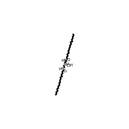 CCCCCCCCCCCCCCCCCC(=O)NCCNCCNC(=O)CCCCCCCCCCCCCCCCC.Cl